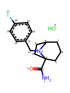 Cl.NC(=O)C12C[CH]CC(CC1)N2Cc1ccc(F)cc1